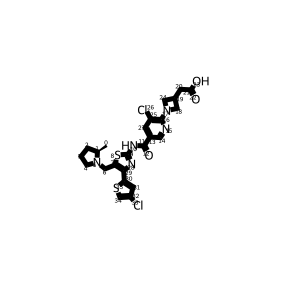 C[C@@H]1CCCN1Cc1sc(NC(=O)c2cnc(N3CC(CC(=O)O)C3)c(Cl)c2)nc1-c1cc(Cl)cs1